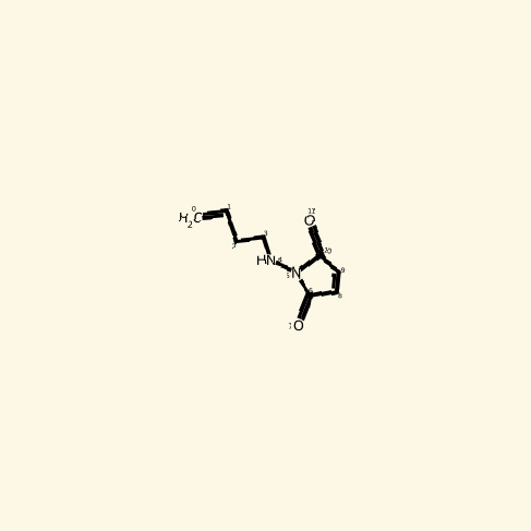 C=CCCNN1C(=O)C=CC1=O